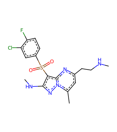 CNCCc1cc(C)n2nc(NC)c(S(=O)(=O)c3ccc(F)c(Cl)c3)c2n1